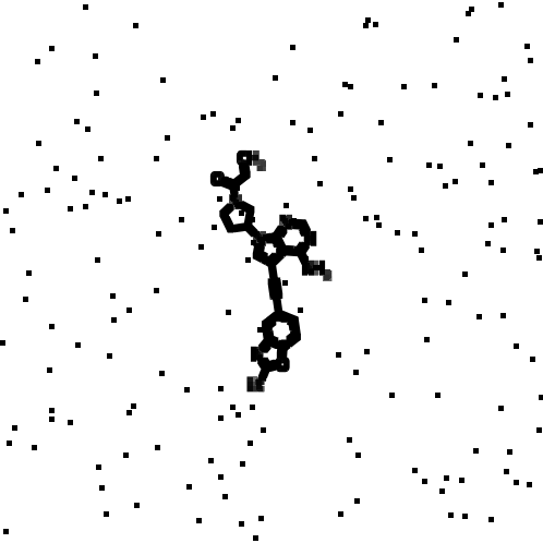 C=CC(=O)N1CCC(n2cc(C#Cc3ccc4oc(CC)nc4c3)c3c(N)ncnc32)C1